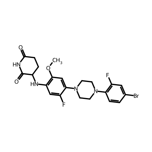 COc1cc(N2CCN(c3ccc(Br)cc3F)CC2)c(F)cc1NC1CCC(=O)NC1=O